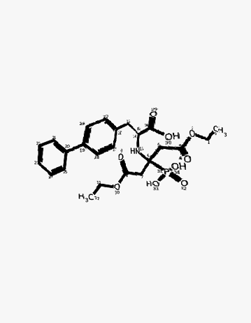 CCOC(=O)CC(CC(=O)OCC)(N[C@@H](Cc1ccc(-c2ccccc2)cc1)C(=O)O)P(=O)(O)O